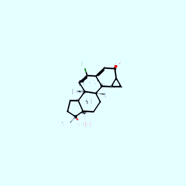 CC(=O)[C@@]1(O)CC[C@H]2[C@@H]3C=C(F)C4=CC(=O)C5CC5[C@@]4(C)[C@@H]3CC[C@@]21C